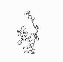 CC1O[C@@H](OC2[C@H](C)CC(C(=O)NCCCc3cn(CCCn4ccc5cc([N+](=O)[O-])ccc54)nn3)C[C@H]2O[C@@H]2O[C@@H](CO)[C@H](O)C(O[C@@H](CC3CCCCC3)C(=O)O)C2OC(=O)c2ccccc2)[C@@H](O)C(O)[C@@H]1O